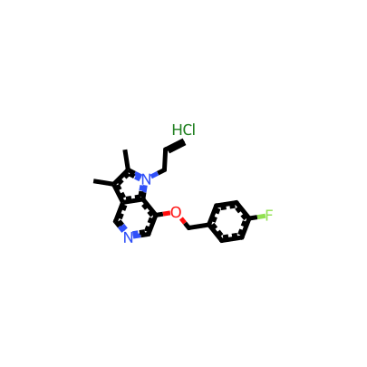 C=CCn1c(C)c(C)c2cncc(OCc3ccc(F)cc3)c21.Cl